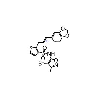 Cc1noc(NS(=O)(=O)c2ccsc2C/C=C/c2ccc3c(c2)OCO3)c1Br